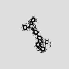 CC1(C)c2ccc(-c3ccc(-c4nc(-c5ccccc5)c5oc6ccccc6c5n4)cc3)cc2-c2ccc3oc4ccccc4c3c21